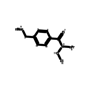 CCCCCCCCCCc1ccc(C(=O)N(CCC)OCC)cc1